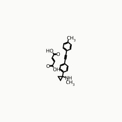 CNC1(c2ccc(C#Cc3ccc(C)cc3)cc2)CC1.O=C(O)C=CC(=O)O